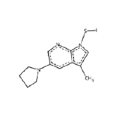 Cc1cn(SI)c2ncc(N3CCCC3)cc12